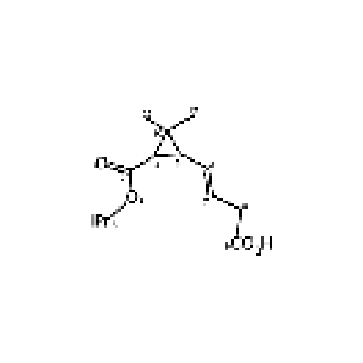 CC(C)OC(=O)C1C(C=CCC(=O)O)C1(C)C